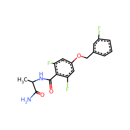 CC(NC(=O)c1c(F)cc(OCc2cccc(F)c2)cc1F)C(N)=O